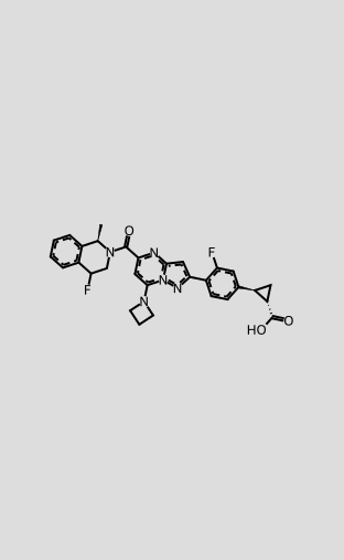 C[C@@H]1c2ccccc2C(F)CN1C(=O)c1cc(N2CCC2)n2nc(-c3ccc([C@H]4C[C@@H]4C(=O)O)cc3F)cc2n1